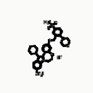 CS(=O)(=O)c1ccc(N2CCOCC2)c(COc2ccc3c(c2)OCCn2c-3c(C3CCCCC3)c3ccc(C(=O)O)cc32)c1.Cl